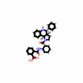 O=C(O)c1ccccc1C(=O)N[C@@H]1CCCC[C@@H]1C(=O)N1CC[C@H]2[C@H](c3ccccc3)Nc3ccccc3[C@@H]21